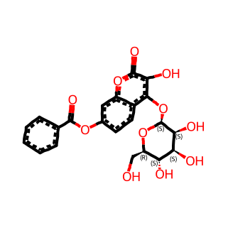 O=C(Oc1ccc2c(O[C@@H]3O[C@H](CO)[C@@H](O)[C@H](O)[C@@H]3O)c(O)c(=O)oc2c1)c1ccccc1